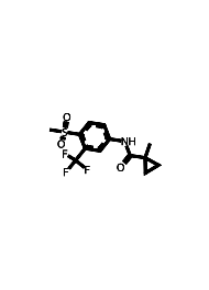 CC1(C(=O)Nc2ccc(S(C)(=O)=O)c(C(F)(F)F)c2)CC1